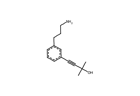 CC(C)(O)C#Cc1cccc(CCCN)c1